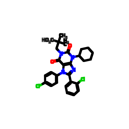 CC(C)(Cn1c(=O)c2c(nc(-c3ccccc3Cl)n2-c2ccc(Cl)cc2)n(C2CCCCC2)c1=O)C(=O)O